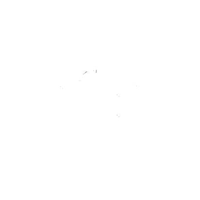 CSc1nc(NC(N)=O)c(C(=O)O)s1.NC(=O)[C@H]1CCCNC1